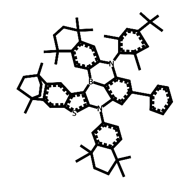 Cc1cc(C(C)(C)C)cc(C)c1N1c2cc3c(cc2B2c4c(cc(-c5ccccc5)cc41)N(c1ccc4c(c1)C(C)(C)CCC4(C)C)c1sc4cc5c(cc4c12)C1(C)CCC5(C)CC1)C(C)(C)CCC3(C)C